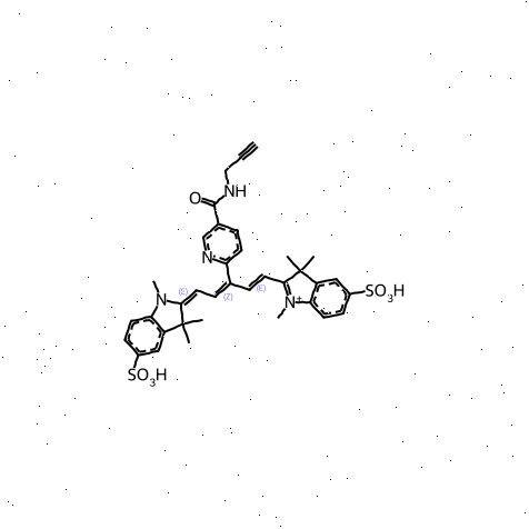 C#CCNC(=O)c1ccc(C(=C\C=C2\N(C)c3ccc(S(=O)(=O)O)cc3C2(C)C)/C=C/C2=[N+](C)c3ccc(S(=O)(=O)O)cc3C2(C)C)nc1